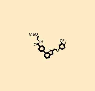 COCCNC(=O)c1ccc(-c2cccc3cc(COc4cccc(C(F)(F)F)c4)sc23)cc1